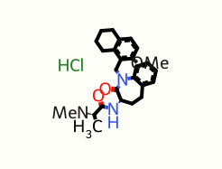 CN[C@@H](C)C(=O)N[C@H]1CCc2ccccc2N(Cc2c(OC)ccc3c2CCCC3)C1=O.Cl